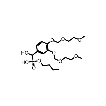 CCCCOP(=O)(O)C(O)c1ccc(OCOCCOC)c(OCOCCOC)c1